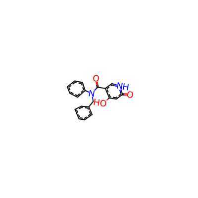 O=C(c1c[nH]c(=O)cc1O)N(Cc1ccccc1)c1ccccc1